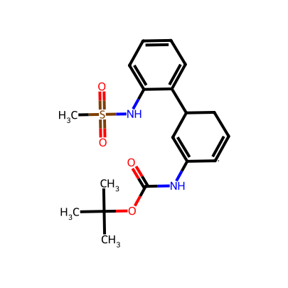 CC(C)(C)OC(=O)NC1=CC(c2ccccc2NS(C)(=O)=O)CC=[C]1